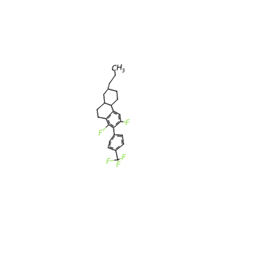 CCCC1CCC2c3cc(F)c(-c4ccc(C(F)(F)F)cc4)c(F)c3CCC2C1